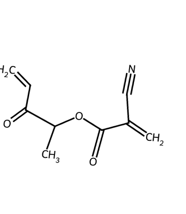 C=CC(=O)C(C)OC(=O)C(=C)C#N